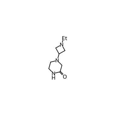 CCN1CC(N2CCNC(=O)C2)C1